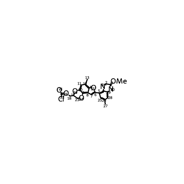 COc1cnc2c(-c3cc4c5c(cc(C)c4o3)OC(COC(=O)Cl)CO5)cc(C)cc2n1